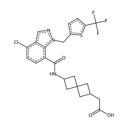 O=C(O)CC1CC2(C1)CC(NC(=O)c1ccc(Cl)c3cnn(Cc4ccc(C(F)(F)F)s4)c13)C2